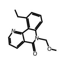 CCc1cccc2c1c1ncccc1c(=O)n2COC